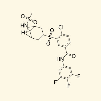 C[C@H]1CC2CC(S(=O)(=O)c3cc(C(=O)Nc4cc(F)c(F)c(F)c4)ccc3Cl)CC1[C@@H]2NS(C)(=O)=O